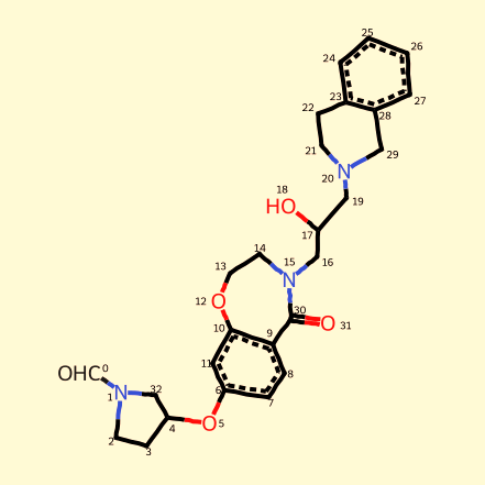 O=CN1CCC(Oc2ccc3c(c2)OCCN(CC(O)CN2CCc4ccccc4C2)C3=O)C1